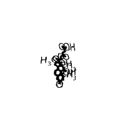 C[C@@H]1CC2C3CCC4=CC(=O)C=CC4(C)C3C(O)CC2(C)C1(O)C(=O)COC(=O)CCC(=O)O